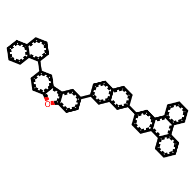 c1ccc2c(-c3ccc4oc5ccc(-c6ccc7ccc(-c8ccc9c%10ccccc%10c%10ccccc%10c9c8)cc7c6)cc5c4c3)cccc2c1